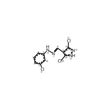 Clc1cccc(NN=Cc2c(Cl)n[nH]c2Cl)c1